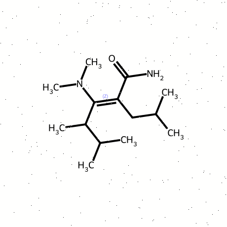 CC(C)C/C(C(N)=O)=C(\C(C)C(C)C)N(C)C